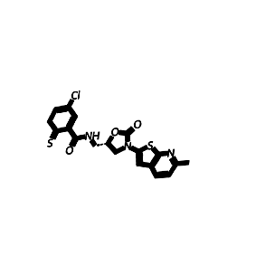 Cc1ccc2cc(N3C[C@H](CNC(=O)C4=CC(Cl)=CCC4=S)OC3=O)sc2n1